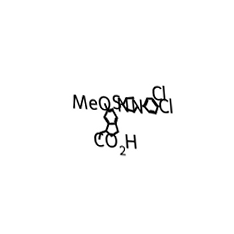 COc1cc2c(cc1SN1CCN(c3ccc(Cl)c(Cl)c3)CC1)CCC2CC(=O)O